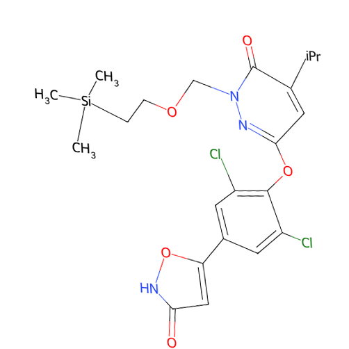 CC(C)c1cc(Oc2c(Cl)cc(-c3cc(=O)[nH]o3)cc2Cl)nn(COCC[Si](C)(C)C)c1=O